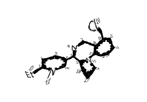 CCc1ccc(C2=NCc3c(Cl)cccc3-n3cccc32)cn1